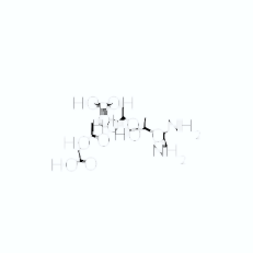 CC(=O)O.CC(=O)O.CC(=O)O.CC(=O)O.NCCN.OB(O)O